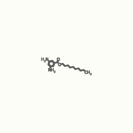 CCCCCCCCCCOC(=O)c1cc(N)cc(N)c1